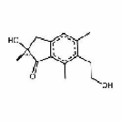 Cc1cc2c(c(C)c1CCO)C(=O)[C@](C)(O)C2